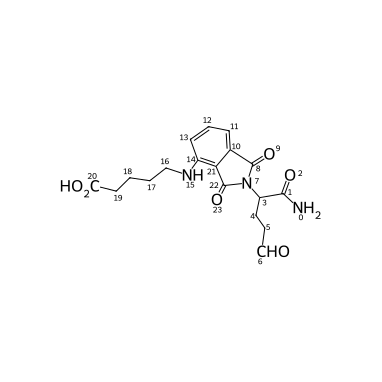 NC(=O)C(CCC=O)N1C(=O)c2cccc(NCCCCC(=O)O)c2C1=O